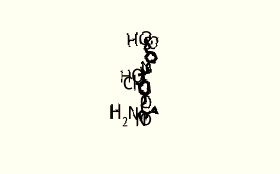 Nc1noc(C2CC2)c1COc1ccc(C2(O)CN(c3cccc(CS(=O)O)c3)C2)c(Cl)c1